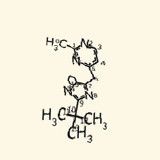 Cc1nccc(Cc2nc(C(C)(C)C)no2)n1